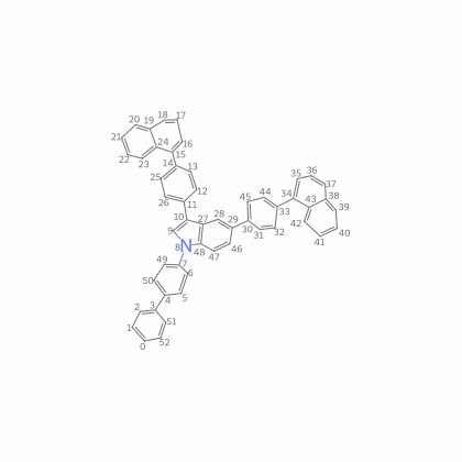 c1ccc(-c2ccc(-n3cc(-c4ccc(-c5cccc6ccccc56)cc4)c4cc(-c5ccc(-c6cccc7ccccc67)cc5)ccc43)cc2)cc1